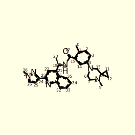 Cc1ccc(N2CCN(C)C3(CC3)C2)cc1C(=O)N[C@H](C)c1cc(-c2ccn(C)n2)nc2ccccc12